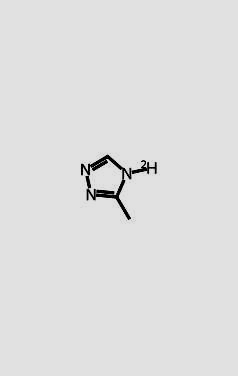 [2H]n1cnnc1C